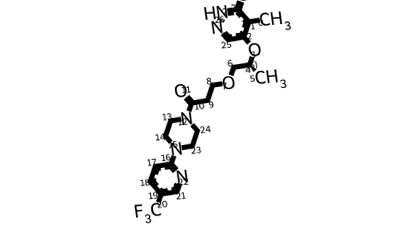 Cc1c(O[C@@H](C)COCCC(=O)N2CCN(c3ccc(C(F)(F)F)cn3)CC2)cn[nH]c1=O